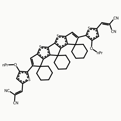 CCCOc1cc(C=C(C#N)C#N)sc1C1=Cc2sc3c(c2C12CCCCC2)C1(CCCCC1)c1c-3sc2c1C1(CCCCC1)C(c1sc(C=C(C#N)C#N)cc1OCCC)=C2